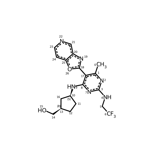 Cc1nc(NCC(F)(F)F)nc(N[C@H]2CC[C@@H](CO)C2)c1-c1nc2cnccc2o1